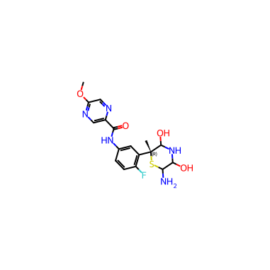 COc1cnc(C(=O)Nc2ccc(F)c([C@@]3(C)SC(N)C(O)NC3O)c2)cn1